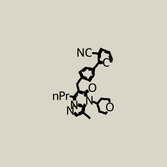 CCCc1c(Cc2ccc(-c3ccccc3C#N)cc2)c(=O)n(C2CCOCC2)c2c(C)cnn12